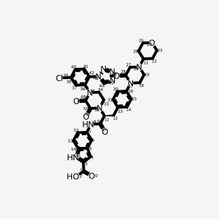 O=C(O)c1cc2cc(NC(=O)[C@H](Cc3ccc(N4CCN(C5CCOCC5)CC4=O)cc3)N3CCN(c4cc(Cl)ccc4-n4cnnn4)C(=O)C3=O)ccc2[nH]1